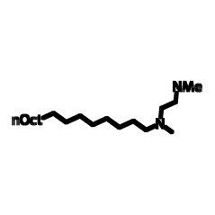 CCCCCCCCCCCCCCCCN(C)CCNC